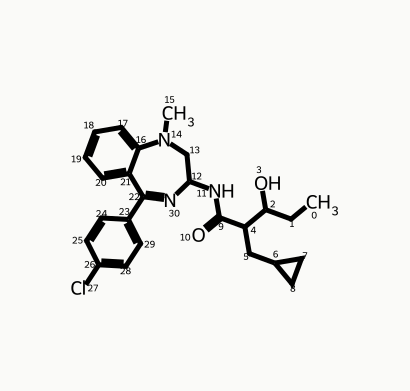 CCC(O)C(CC1CC1)C(=O)NC1CN(C)c2ccccc2C(c2ccc(Cl)cc2)=N1